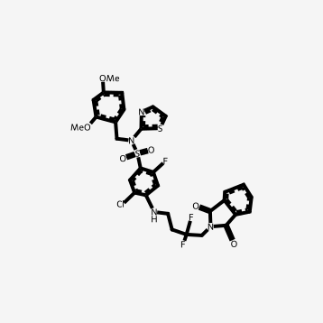 COc1ccc(CN(c2nccs2)S(=O)(=O)c2cc(Cl)c(NCCC(F)(F)CN3C(=O)c4ccccc4C3=O)cc2F)c(OC)c1